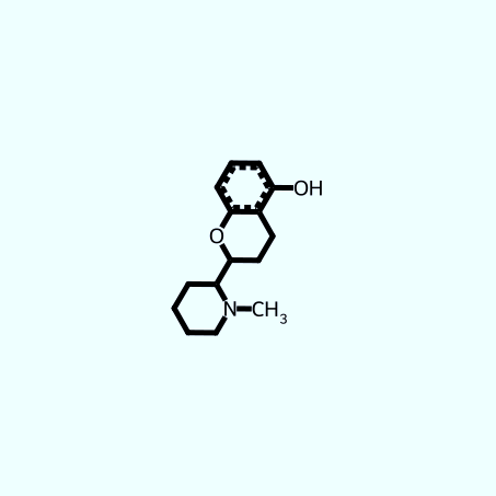 CN1CCCCC1C1CCc2c(O)cccc2O1